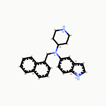 c1ccc2c(CN(c3ccc4[nH]ccc4c3)C3CCNCC3)cccc2c1